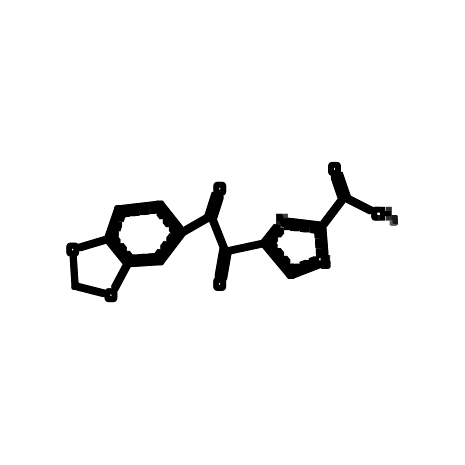 CC(=O)c1nc(C(=O)C(=O)c2ccc3c(c2)OCO3)cs1